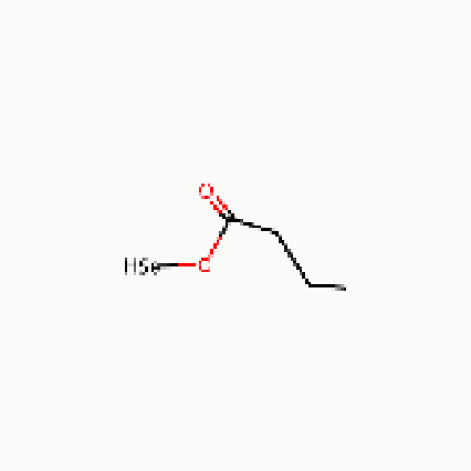 CCCC(=O)O[SeH]